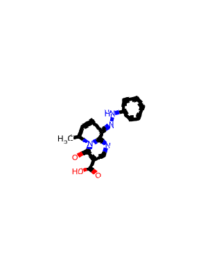 CC1C=CC(=NNc2ccccc2)c2ncc(C(=O)O)c(=O)n21